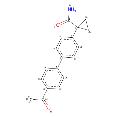 NC(=O)C1(c2ccc(-c3ccc(C(=O)C(F)(F)F)cc3)cc2)CC1